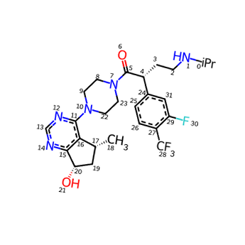 CC(C)NCC[C@@H](C(=O)N1CCN(c2ncnc3c2[C@H](C)C[C@@H]3O)CC1)c1ccc(C(F)(F)F)c(F)c1